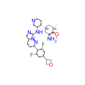 CO[C@H]1[C@H](N)C[C@H](c2ccncc2Nc2ncc3ccc(-c4c(F)cc(C5COC5)cc4F)nn23)C[C@@H]1C